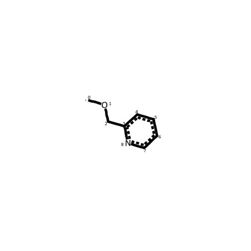 [CH2]OCc1ccccn1